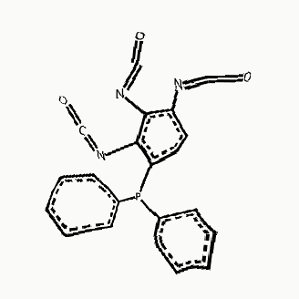 O=C=Nc1ccc(P(c2ccccc2)c2ccccc2)c(N=C=O)c1N=C=O